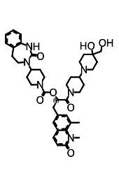 Cc1cc(C[C@@H](OC(=O)N2CCC(N3CCc4ccccc4NC3=O)CC2)C(=O)N2CCC(N3CCC(O)(CO)CC3)CC2)cc2ccc(=O)n(C)c12